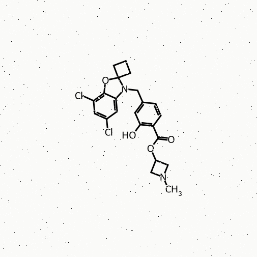 CN1CC(OC(=O)c2ccc(CN3c4cc(Cl)cc(Cl)c4OC34CCC4)cc2O)C1